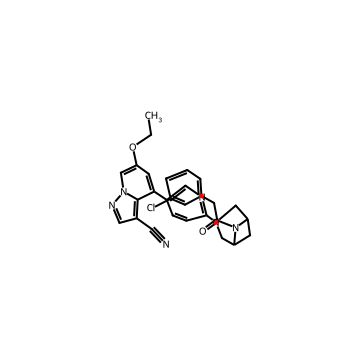 CCOc1cc(-c2ccc(N3CC4CC(C3)N4C(=O)Cc3cccc(Cl)c3)nc2)c2c(C#N)cnn2c1